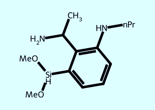 CCCNc1cccc([SiH](OC)OC)c1C(C)N